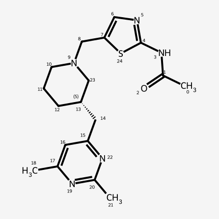 CC(=O)Nc1ncc(CN2CCC[C@@H](Cc3cc(C)nc(C)n3)C2)s1